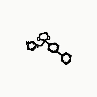 c1ccc(-c2ccc(C3(Cn4ccnc4)OCCO3)cc2)cc1